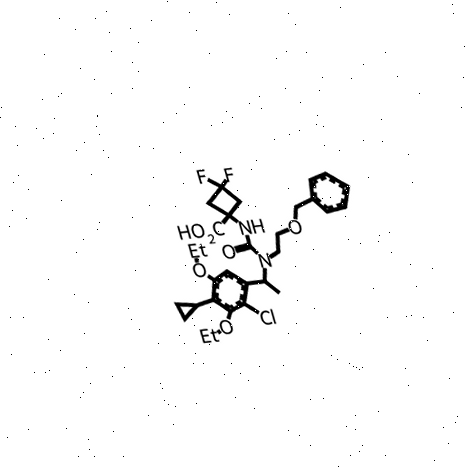 CCOc1cc(C(C)N(CCOCc2ccccc2)C(=O)NC2(C(=O)O)CC(F)(F)C2)c(Cl)c(OCC)c1C1CC1